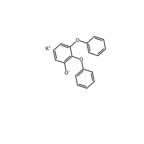 [K+].[O-]c1cccc(Oc2ccccc2)c1Oc1ccccc1